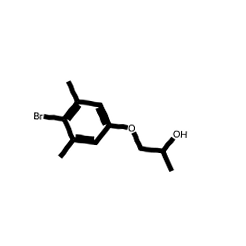 Cc1cc(OCC(C)O)cc(C)c1Br